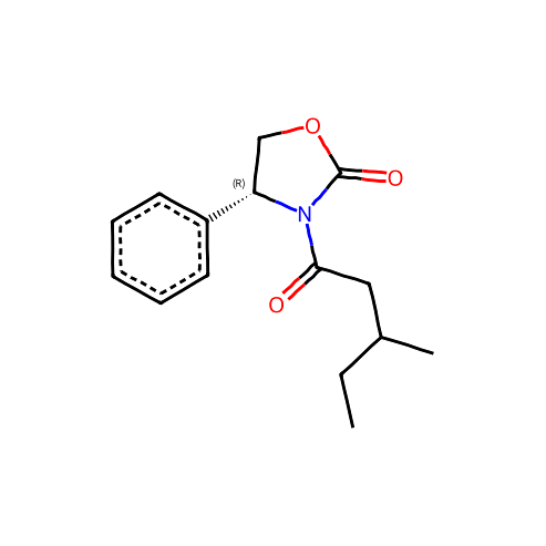 CCC(C)CC(=O)N1C(=O)OC[C@H]1c1ccccc1